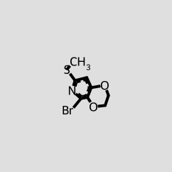 CSc1cc2c(c(Br)n1)OCCO2